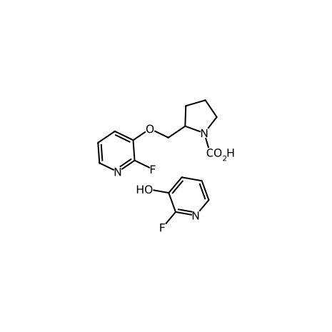 O=C(O)N1CCCC1COc1cccnc1F.Oc1cccnc1F